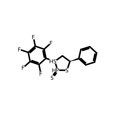 Fc1c(F)c(F)c([SH]2C[C@@H](c3ccccc3)S[PH]2=S)c(F)c1F